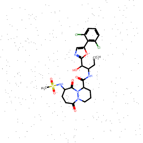 CS(=O)(=O)NC1CCC(=O)N2CCCC(C(=O)NC(CC(=O)O)C(O)c3ncc(-c4c(Cl)cccc4Cl)o3)N2C1=O